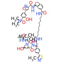 Cc1ncsc1-c1ccc([C@H](CC(=O)NCCCCCCCCCCNC(=O)c2ccc3c(c2)[C@H](NC(=O)c2cc(-c4ccc(C(=O)N(C)C)c(O)c4)on2)CC3)NC(=O)[C@@H]2C[C@@H](O)CN2C(=O)[C@@H](NC(=O)C2(F)CC2)C(C)(C)C)cc1